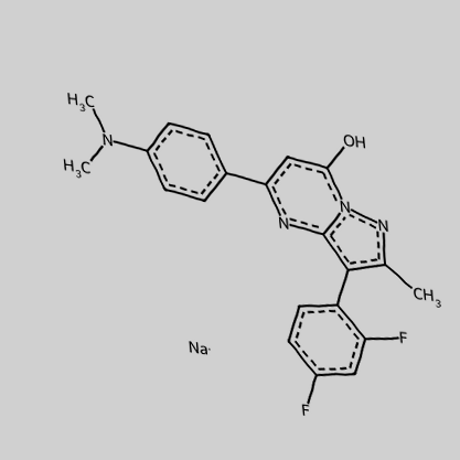 Cc1nn2c(O)cc(-c3ccc(N(C)C)cc3)nc2c1-c1ccc(F)cc1F.[Na]